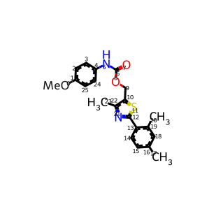 COc1ccc(NC(=O)OCc2sc(-c3ccc(C)cc3C)nc2C)cc1